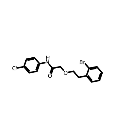 O=C(COCCc1ccccc1Br)Nc1ccc(Cl)cc1